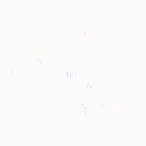 CCN(CC)CCNC1=CNC(=C=O)N1C(c1ccccc1)c1ccccc1.O